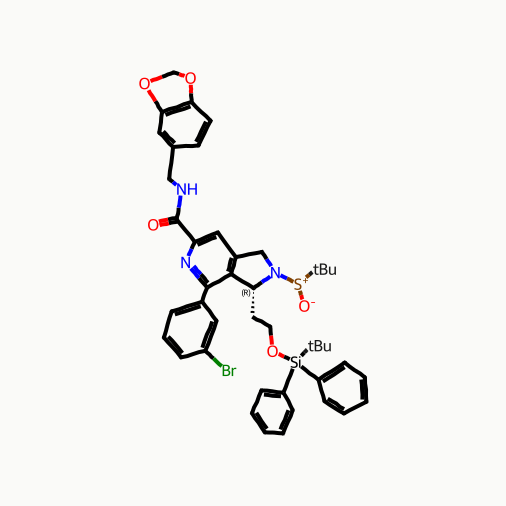 CC(C)(C)[S+]([O-])N1Cc2cc(C(=O)NCc3ccc4c(c3)OCO4)nc(-c3cccc(Br)c3)c2[C@H]1CCO[Si](c1ccccc1)(c1ccccc1)C(C)(C)C